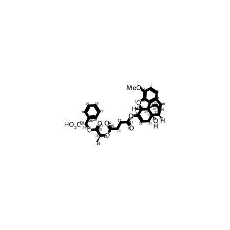 COc1ccc2c3c1O[C@H]1C(OC(=O)CCC(=O)O[C@@H](C)C(=O)O[C@H](C(=O)O)c4ccccc4)=CC[C@@]4(O)[C@H](CCC[C@]314)C2